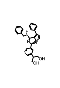 OCC(CO)c1cncc(-c2nc(NCc3ccccc3)c3c(-c4ccccc4)ccn3n2)c1